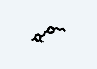 [CH2]c1cc(C)ccc1CCc1ccc(CCCC)cc1